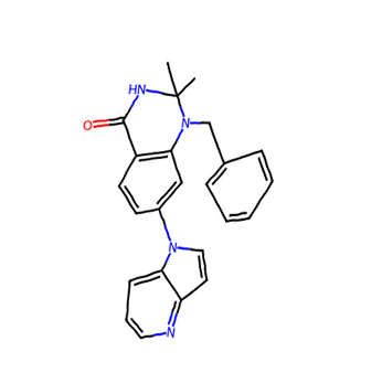 CC1(C)NC(=O)c2ccc(-n3ccc4ncccc43)cc2N1Cc1ccccc1